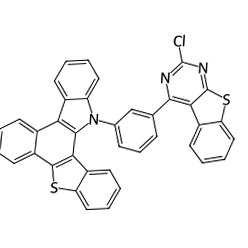 Clc1nc(-c2cccc(-n3c4ccccc4c4c5ccccc5c5sc6ccccc6c5c43)c2)c2c(n1)sc1ccccc12